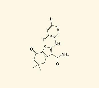 CC1(C)CC(=O)c2sc(Nc3ccc(I)cc3F)c(C(N)=O)c2C1